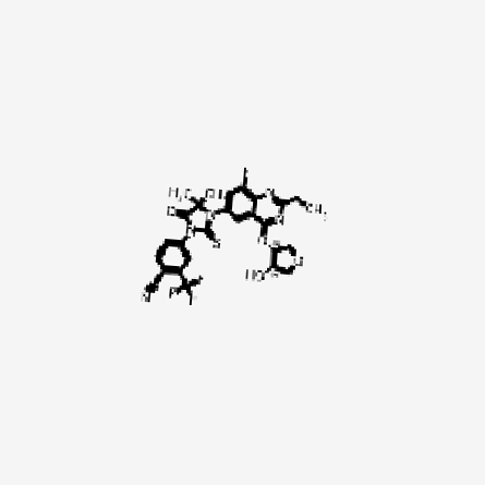 CCc1nc(O[C@@H]2COC[C@H]2O)c2cc(N3C(=S)N(c4ccc(C#N)c(C(F)(F)F)c4)C(=O)C3(C)C)cc(F)c2n1